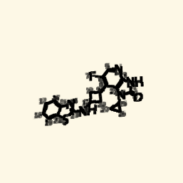 O=c1[nH]c2ncc(F)c(C3CC(Nc4nc5ccccc5s4)C3)c2n1C1CC1